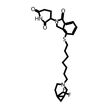 O=C1CCC(N2Cc3c(SCCCCCCCN4CCC5(C(F)F)CC5C4)cccc3C2=O)C(=O)N1